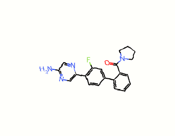 Nc1cnc(-c2ccc(-c3ccccc3C(=O)N3CCCC3)cc2F)cn1